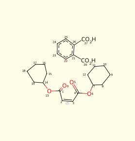 O=C(/C=C\C(=O)OC1CCCCC1)OC1CCCCC1.O=C(O)c1ccccc1C(=O)O